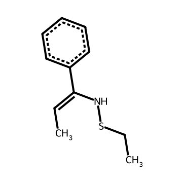 C/C=C(\NSCC)c1ccccc1